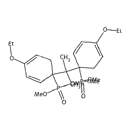 CCOC1=CCC(C(C)(C)C2(P(=O)(OC)OC)C=CC(OCC)=CC2)(P(=O)(OC)OC)C=C1